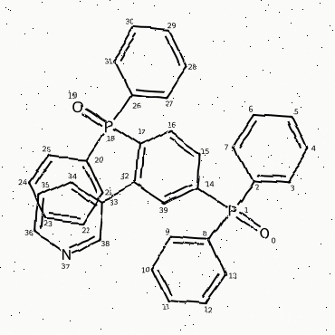 O=P(c1ccccc1)(c1ccccc1)c1ccc(P(=O)(c2ccccc2)c2ccccc2)c(-c2cccnc2)c1